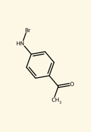 CC(=O)c1ccc(NBr)cc1